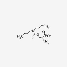 CCCCN(CCCC)C(=S)SCC(C)[N+](=O)[O-]